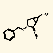 O=C=C1C2C(CN1OCc1ccccc1)C2C(=O)O